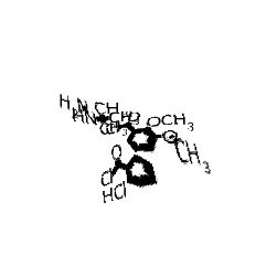 CC(C)(C)NN.COc1cccc(C(=O)Cl)c1OC.Cl.O=C(Cl)c1ccccc1